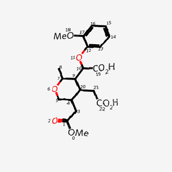 COC(=O)CC1COC(C)C(C(Oc2ccccc2OC)C(=O)O)C1CC(=O)O